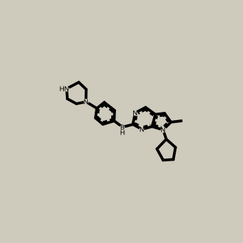 Cc1cc2cnc(Bc3ccc(N4CCNCC4)cc3)nc2n1C1CCCC1